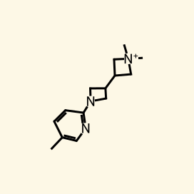 Cc1ccc(N2CC(C3C[N+](C)(C)C3)C2)nc1